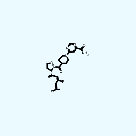 C=C(/C=C(F)\C=C(/C)F)[C@@H]1CCON1C(=O)C1CCN(c2cc(C(N)=O)ncn2)CC1